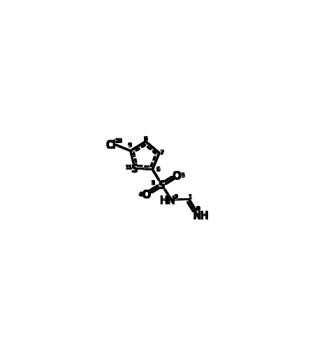 N=CNS(=O)(=O)c1ccc(Cl)s1